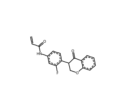 C=CC(=O)Nc1ccc(C2COc3ccccc3C2=O)c(F)c1